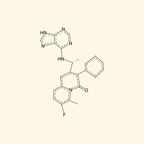 Cc1c(F)ccc2cc([C@@H](C)Nc3ncnc4[nH]cnc34)c(-c3ccccc3)c(=O)n12